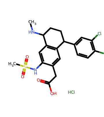 CNC1CCC(c2ccc(Cl)c(Cl)c2)c2cc(CC(=O)O)c(NS(C)(=O)=O)cc21.Cl